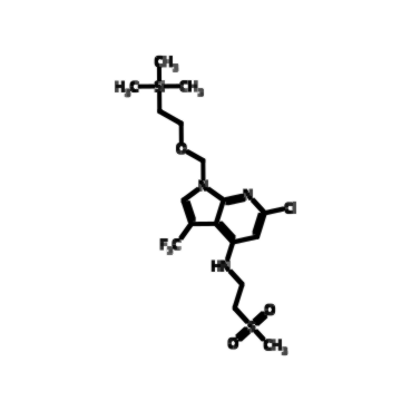 C[Si](C)(C)CCOCn1cc(C(F)(F)F)c2c(NCCS(C)(=O)=O)cc(Cl)nc21